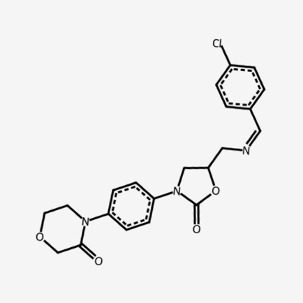 O=C1COCCN1c1ccc(N2CC(C/N=C\c3ccc(Cl)cc3)OC2=O)cc1